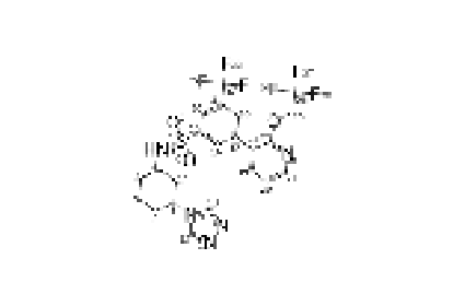 O=S(=O)(N[C@H]1CCC[C@@H](n2cnnc2)C1)c1cc(-c2cccnc2OCC(F)(F)F)cc(C(F)(F)F)c1